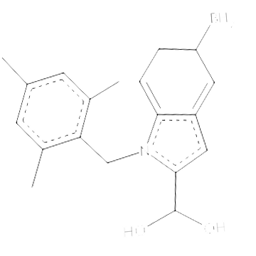 BC1C=c2cc(C(O)O)n(Cc3c(C)cc(C)cc3C)c2=CC1